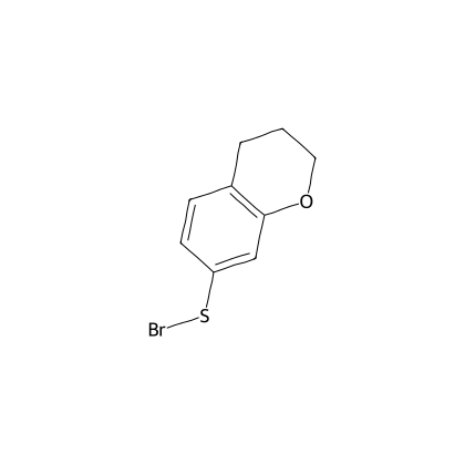 BrSc1ccc2c(c1)OCCC2